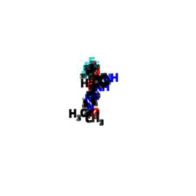 CC(C)C(=O)N1CCn2cc(C(=O)NC3(C)CCNCC3C(=O)OC(C(F)(F)F)C(F)(F)F)nc2C1